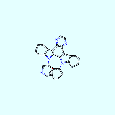 c1ccc(-n2c3ccccc3c3c4nccnc4c4c5ccccc5n(-c5cccnc5)c4c32)cc1